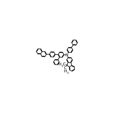 CC1(C)c2ccccc2-c2ccc(N(c3ccc(-c4ccccc4)cc3)c3ccc(-c4ccc(-c5ccc6ccccc6c5)cc4)c(-c4ccccc4)c3)cc21